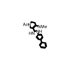 CNC1=C(C(=N)Nc2ccc(-c3ccccc3)cc2)CN(C(C)=O)CC1